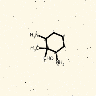 CC1(C=O)C(N)CCCC1N